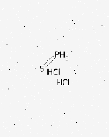 Cl.Cl.[PH3]=S